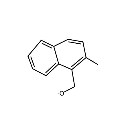 Cc1ccc2ccccc2c1C[O]